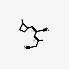 C/C(=C\C(C#N)=C/C1CCC1C)CC#N